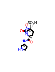 O=C(N[C@@H]1CCNC1)[C@@H]1CC[C@@H]2CN1C(=O)N2OS(=O)(=O)O